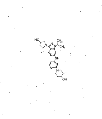 CC(C)n1nc(N2CC[C@@H](O)C2)c2cnc(Nc3ccnc(N4CCC(O)C(F)C4)n3)cc21